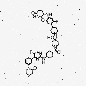 O=C1CCC(Nc2ccc(C3CCN(CC4(O)CCN(C(=O)[C@H]5CC[C@H](Nc6ncc(F)c(-c7cccc(N8CCCCC8=O)c7)n6)CC5)CC4)CC3)c(F)c2)C(=O)N1